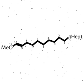 CCCCCCCCCCCCCCCC=COC